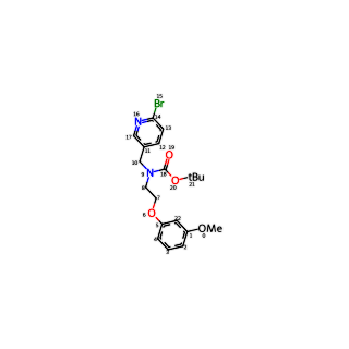 COc1cccc(OCCN(Cc2ccc(Br)nc2)C(=O)OC(C)(C)C)c1